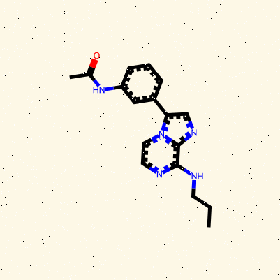 CCCNc1nccn2c(-c3cccc(NC(C)=O)c3)cnc12